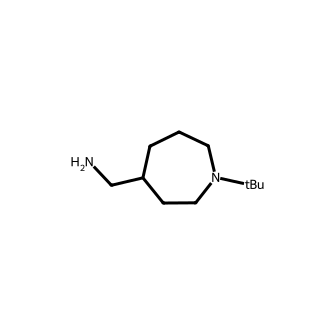 CC(C)(C)N1CCCC(CN)CC1